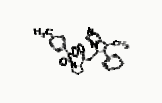 CC1=C(c2ccccc2)C(CC(=O)C2CCCN2S(=O)(=O)c2ccc(C)cc2)n2cncc21